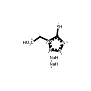 O=C(O)Cn1nnnc1S.[NaH].[NaH]